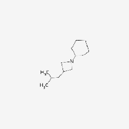 CC(C)CC1CN(C2CCCCC2)C1